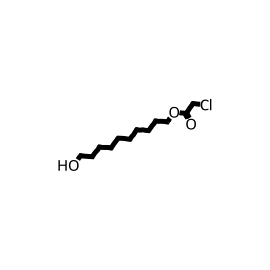 O=C(CCl)OCCCCCCCCCCO